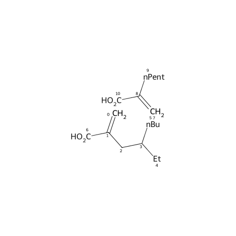 C=C(CC(CC)CCCC)C(=O)O.C=C(CCCCC)C(=O)O